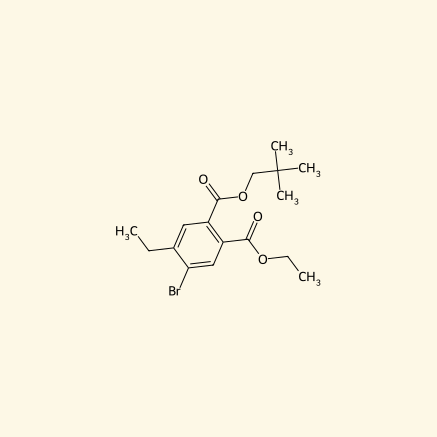 CCOC(=O)c1cc(Br)c(CC)cc1C(=O)OCC(C)(C)C